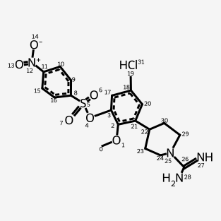 COc1c(OS(=O)(=O)c2ccc([N+](=O)[O-])cc2)cc(C)cc1C1CCN(C(=N)N)CC1.Cl